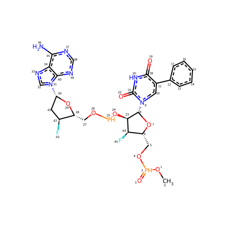 CO[PH](=O)OC[C@H]1O[C@@H](n2cc(-c3ccccc3)c(=O)[nH]c2=O)[C@H](OPOC[C@H]2O[C@@H](n3cnc4c(N)ncnc43)C[C@@H]2F)[C@@H]1F